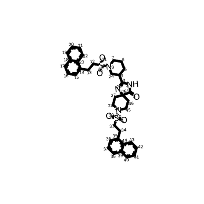 O=C1NC(C2CCCN(S(=O)(=O)CCc3cccc4ccccc34)C2)=NC12CCN(S(=O)(=O)CCc1cccc3ccccc13)CC2